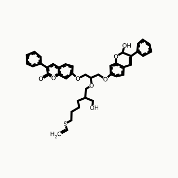 C=CSCCCCC(CO)COC(COc1ccc2c(c1)OC(O)C(c1ccccc1)=C2)COc1ccc2cc(-c3ccccc3)c(=O)oc2c1